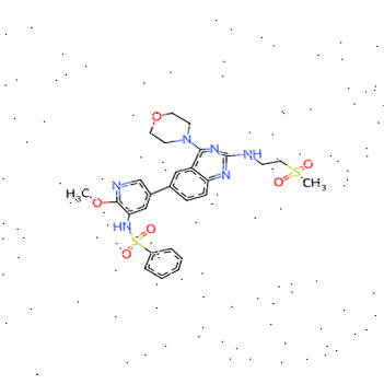 COc1ncc(-c2ccc3nc(NCCS(C)(=O)=O)nc(N4CCOCC4)c3c2)cc1NS(=O)(=O)c1ccccc1